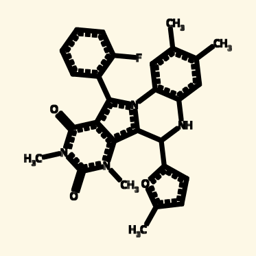 Cc1ccc(C2Nc3cc(C)c(C)cc3-n3c(-c4ccccc4F)c4c(=O)n(C)c(=O)n(C)c4c32)o1